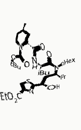 CCCCCCN(C(=O)[C@@H](NC(=O)[C@H]1C[C@H](C)CCN1C(=O)OC(C)(C)C)[C@@H](C)CC)[C@H](C[C@@H](O)c1nc(C(=O)OCC)cs1)C(C)C